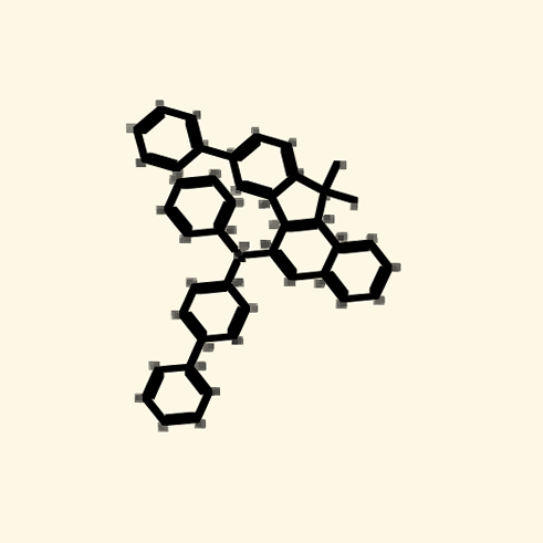 CC1(C)c2ccc(-c3ccccc3)cc2-c2c(N(c3ccccc3)c3ccc(-c4ccccc4)cc3)cc3ccccc3c21